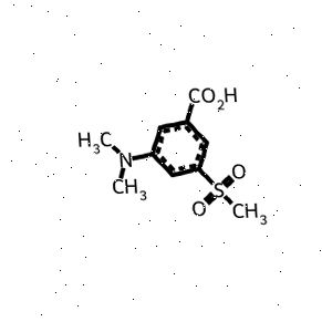 CN(C)c1cc(C(=O)O)cc(S(C)(=O)=O)c1